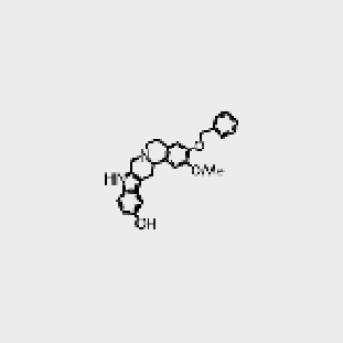 COc1cc2c(cc1OCc1ccccc1)CCN1Cc3[nH]c4ccc(O)cc4c3CC21